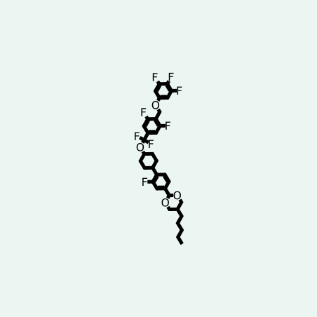 CCCCCC1COC(c2ccc(C3CCC(OC(F)(F)c4cc(F)c(COc5cc(F)c(F)c(F)c5)c(F)c4)CC3)c(F)c2)OC1